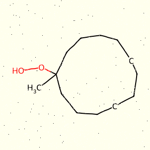 CC1(OO)CCCCCCCCCCC1